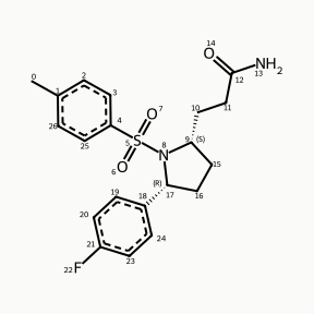 Cc1ccc(S(=O)(=O)N2[C@H](CCC(N)=O)CC[C@@H]2c2ccc(F)cc2)cc1